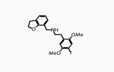 COc1cc(CCNCc2cccc3c2OCC3)c(OC)cc1I